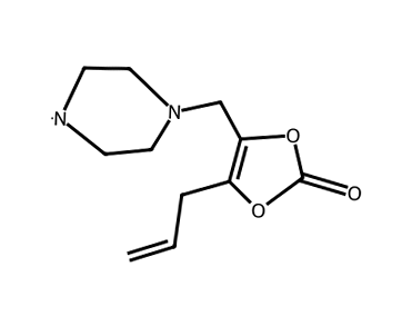 C=CCc1oc(=O)oc1CN1CC[N]CC1